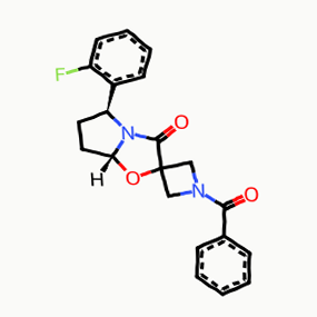 O=C(c1ccccc1)N1CC2(C1)O[C@@H]1CC[C@@H](c3ccccc3F)N1C2=O